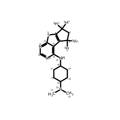 [2H]C1([2H])CC([2H])([2H])c2c1sc1ncnc(NC3CCC(N(C)C)CC3)c21